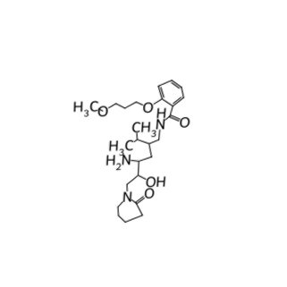 COCCCOc1ccccc1C(=O)NCC(CC(N)C(O)CN1CCCCC1=O)C(C)C